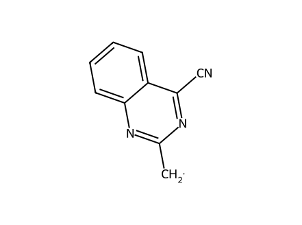 [CH2]c1nc(C#N)c2ccccc2n1